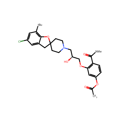 CNC(=O)c1ccc(OC(=O)C(F)(F)F)cc1OC[C@@H](O)CN1CCC2(CC1)Cc1cc(Cl)cc(C(C)(C)C)c1O2